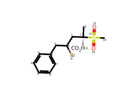 C[C@@](CC(Br)Cc1ccccc1)(C(=O)O)S(C)(=O)=O